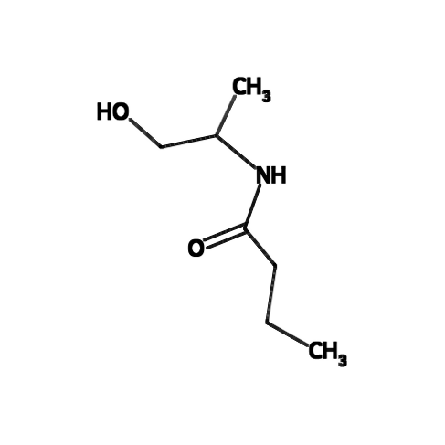 CCCC(=O)NC(C)CO